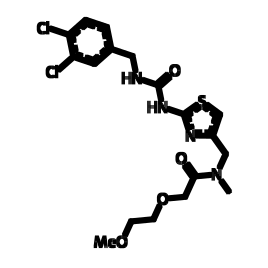 COCCOCC(=O)N(C)Cc1csc(NC(=O)NCc2ccc(Cl)c(Cl)c2)n1